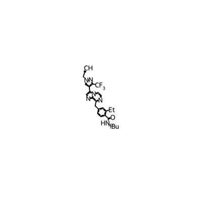 C#CCn1cc(-c2cnc3c(Cc4ccc(C(=O)N[C@@H](C)CC)c(CC)c4)nccn23)c(C(F)(F)F)n1